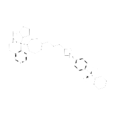 O=S(=O)(c1ccc(N2CC(CCCC3CCCC(C4(C5CCCC5)NCCc5ccccc54)CC3)C2)cc1)C1CCCCC1